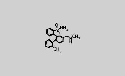 CNCc1ccc(-c2ccccc2C)c(-c2ccccc2S(N)(=O)=O)c1